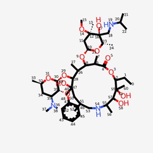 CCC1OC(=O)C(C)C(O[C@H]2C[C@@](C)(OC)[C@](O)(CNC(C)C)[C@H](C)O2)C(C)C(O[C@@H]2O[C@H](C)C[C@H](N(C)C)[C@H]2Oc2ccccc2)C(C)(O)CC(C)CNC(C)C(O)C1(C)O